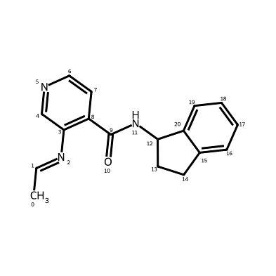 C/C=N/c1cnccc1C(=O)NC1CCc2ccccc21